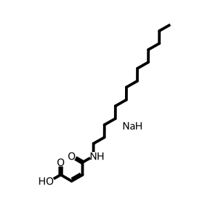 CCCCCCCCCCCCCCNC(=O)/C=C\C(=O)O.[NaH]